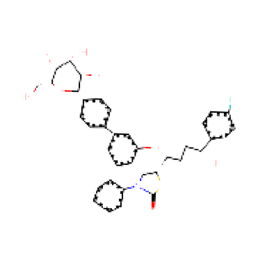 O=C1S[C@H](CCC[C@@H](O)c2ccc(F)cc2)[C@@H](c2ccc(-c3ccc([C@@H]4O[C@H](CO)[C@@H](O)[C@H](O)[C@H]4O)cc3)cc2O)N1c1ccccc1